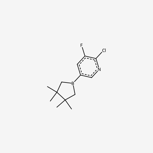 CC1(C)CB(c2cnc(Cl)c(F)c2)CC1(C)C